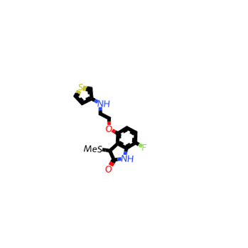 CSC1C(=O)Nc2c(F)ccc(OCCNc3ccsc3)c21